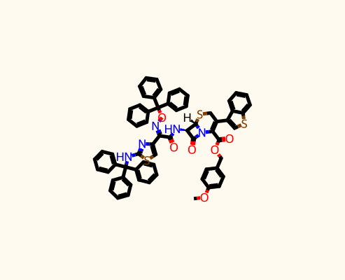 COc1ccc(COC(=O)C2=C(c3csc4ccccc34)CS[C@H]3[C@H](NC(=O)C(=NOC(c4ccccc4)(c4ccccc4)c4ccccc4)c4csc(NC(c5ccccc5)(c5ccccc5)c5ccccc5)n4)C(=O)N23)cc1